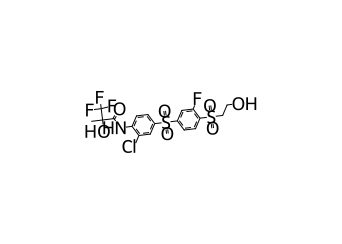 CC(O)(C(=O)Nc1ccc(S(=O)(=O)c2ccc(S(=O)(=O)CCO)c(F)c2)cc1Cl)C(F)(F)F